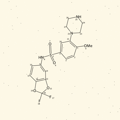 COc1ccc(S(=O)(=O)Nc2ccc3c(c2)OC(F)(F)O3)cc1N1CCNCC1